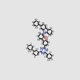 c1ccc(-c2cccc(-c3nc(-c4ccccc4)nc(-c4ccc5oc6c(-n7c8ccccc8c8ccc(-c9ccccc9)cc87)cccc6c5c4)n3)c2)cc1